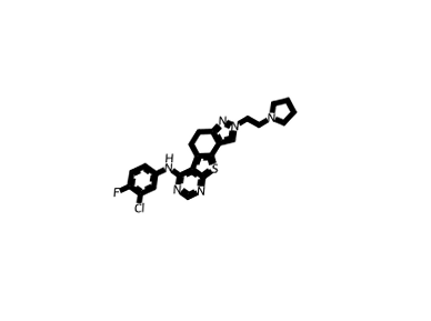 Fc1ccc(Nc2ncnc3sc4c(c23)CCc2nn(CCN3CCCC3)cc2-4)cc1Cl